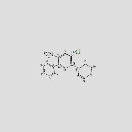 O=[N+]([O-])c1cc(Cl)c(C2C=CCCC2)cc1-c1ccccc1